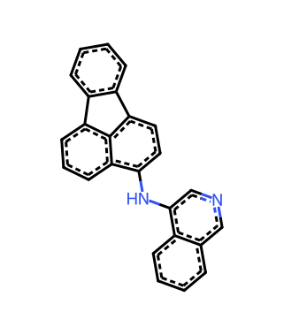 c1ccc2c(c1)-c1cccc3c(Nc4cncc5ccccc45)ccc-2c13